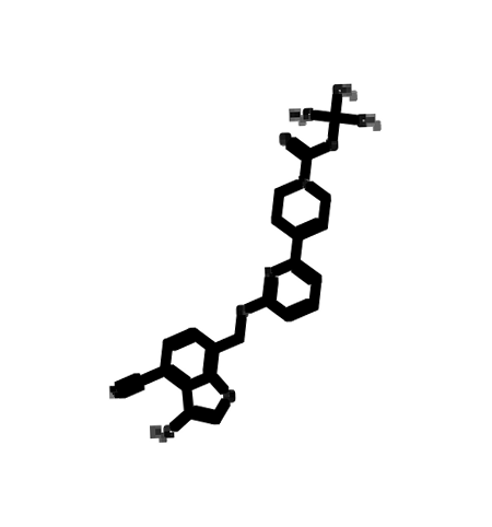 Cc1coc2c(COc3cccc(C4=CCN(C(=O)OC(C)(C)C)CC4)n3)ccc(C#N)c12